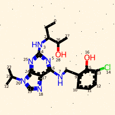 CCC(Nc1nc(NCc2cccc(Cl)c2O)c2ncn(C(C)C)c2n1)C(C)O